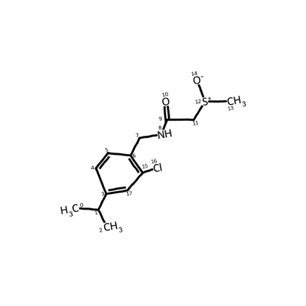 CC(C)c1ccc(CNC(=O)C[S+](C)[O-])c(Cl)c1